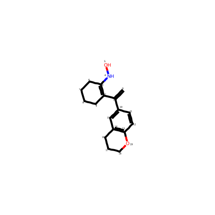 C=C(C1=C(NO)CCCC1)c1ccc2c(c1)CCCO2